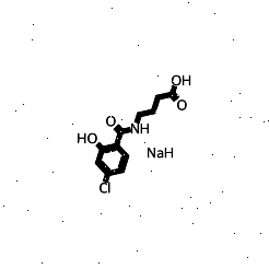 O=C(O)CCCNC(=O)c1ccc(Cl)cc1O.[NaH]